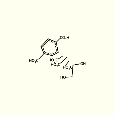 CC(=O)O.CC(=O)O.CC(=O)O.O=C(O)c1ccc(C(=O)O)cc1.OCCO